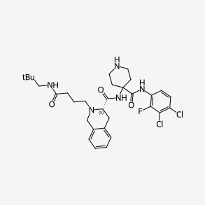 CC(C)(C)CNC(=O)CCCN1Cc2ccccc2C[C@H]1C(=O)NC1(C(=O)Nc2ccc(Cl)c(Cl)c2F)CCNCC1